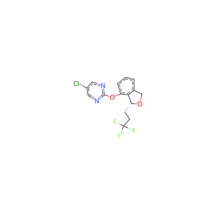 FC(F)(F)CC[C@H]1OCc2cccc(Oc3ncc(Cl)cn3)c21